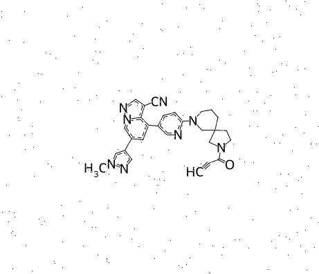 C#CC(=O)N1CCC2(CCCN(c3ccc(-c4cc(-c5cnn(C)c5)cn5ncc(C#N)c45)cn3)C2)C1